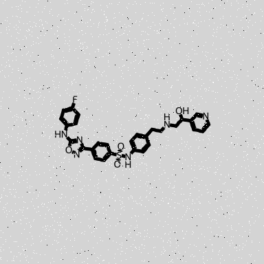 O=S(=O)(Nc1ccc(CCNCC(O)c2cccnc2)cc1)c1ccc(-c2noc(Nc3ccc(F)cc3)n2)cc1